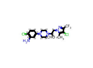 Cc1c(Cl)c(C(F)(F)F)nn1CC(C=O)N1CCN(c2ccc(Cl)c(N)c2)CC1